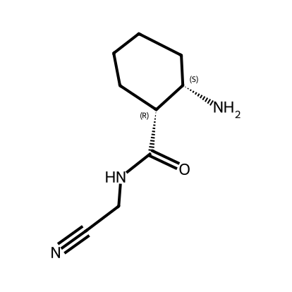 N#CCNC(=O)[C@@H]1CCCC[C@@H]1N